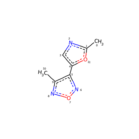 Cc1ncc(-c2nonc2C)o1